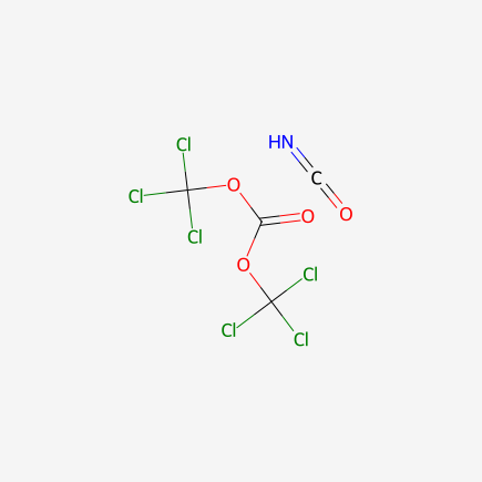 N=C=O.O=C(OC(Cl)(Cl)Cl)OC(Cl)(Cl)Cl